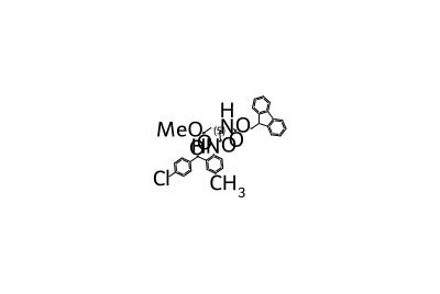 COC(=O)C[C@H](NC(=O)OCC1c2ccccc2-c2ccccc21)C(=O)Nc1ccc(C)cc1C(=O)c1ccc(Cl)cc1